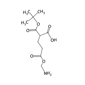 CC(C)(C)OC(=O)C(CCC(=O)OCN)C(=O)O